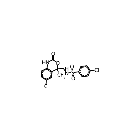 O=C1Nc2ccc(Cl)cc2C(CNS(=O)(=O)c2ccc(Cl)cc2)(C(F)(F)F)O1